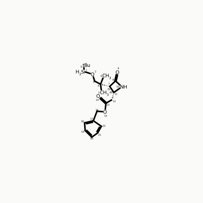 CC(C)(C)[SiH2]OCC(C)(C)[C@@H]1C(=O)N[C@@H]1CC(=O)OCc1ccccc1